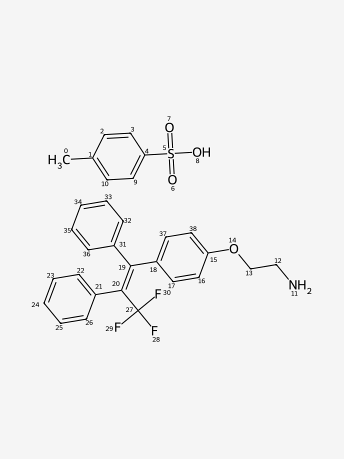 Cc1ccc(S(=O)(=O)O)cc1.NCCOc1ccc(C(=C(c2ccccc2)C(F)(F)F)c2ccccc2)cc1